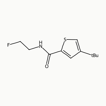 CC(C)(C)c1csc(C(=O)NCCF)c1